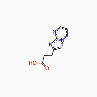 O=C(O)CCc1cn2cccnc2n1